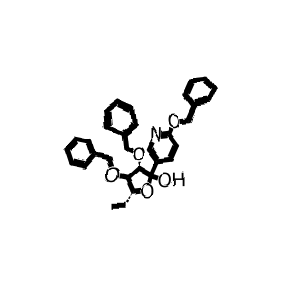 CC[C@H]1OC(O)(c2ccc(OCc3ccccc3)nc2)[C@@H](OCc2ccccc2)C1OCc1ccccc1